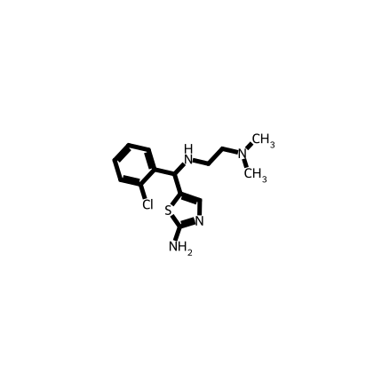 CN(C)CCNC(c1cnc(N)s1)c1ccccc1Cl